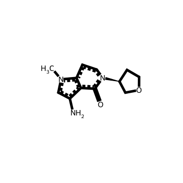 Cn1cc(N)c2c(=O)n([C@H]3CCOC3)ccc21